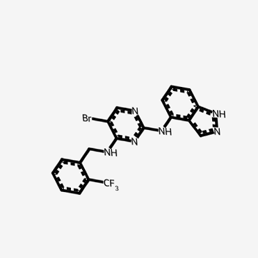 FC(F)(F)c1ccccc1CNc1nc(Nc2cccc3[nH]ncc23)ncc1Br